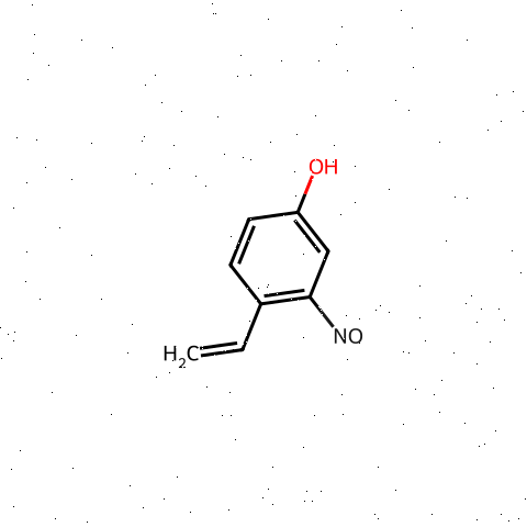 C=Cc1ccc(O)cc1N=O